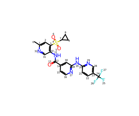 Cc1cc(S(=O)(=O)C2CC2)c(NC(=O)c2ccnc(Nc3ccc(C(F)(F)F)cn3)c2)cn1